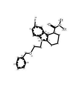 CCN(CC)C(=O)C1CCCc2c1c1cc(F)ccc1n2CCOCc1ccccc1